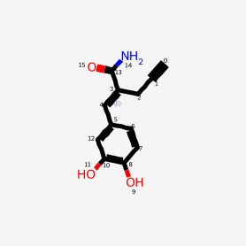 C#CC/C(=C\c1ccc(O)c(O)c1)C(N)=O